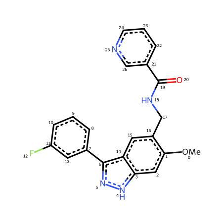 COc1cc2[nH]nc(-c3cccc(F)c3)c2cc1CNC(=O)c1cccnc1